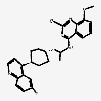 COc1cccc2c(NC(C)C[C@H]3CC[C@H](c4ccnc5ccc(F)cc54)CC3)nc(Cl)nc12